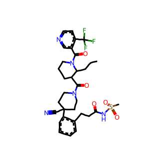 CCCC1C(C(=O)N2CCC(C#N)(c3ccccc3CCC(=O)NS(C)(=O)=O)CC2)CCCN1C(=O)c1cnccc1C(F)(F)F